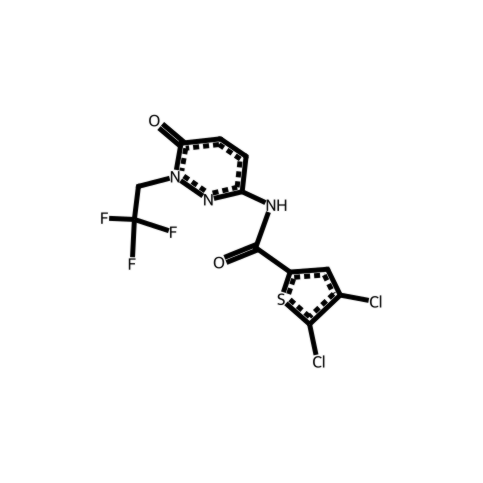 O=C(Nc1ccc(=O)n(CC(F)(F)F)n1)c1cc(Cl)c(Cl)s1